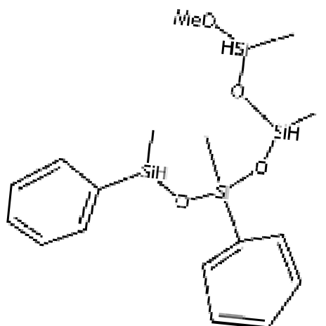 CO[SiH](C)O[SiH](C)O[Si](C)(O[SiH](C)c1ccccc1)c1ccccc1